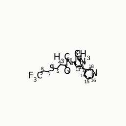 CN(C(=O)CCSCCC(F)(F)F)c1cc(-c2cccnc2)nn1C